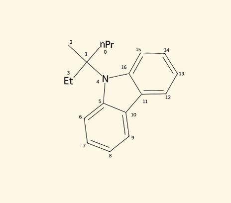 CCCC(C)(CC)n1c2ccccc2c2ccccc21